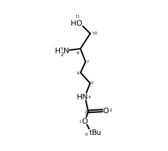 CC(C)(C)OC(=O)NCCCC(N)CO